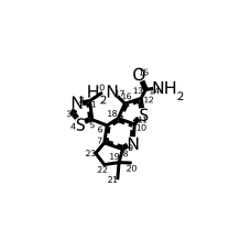 Cc1ncsc1-c1c2c(nc3sc(C(N)=O)c(N)c13)C(C)(C)CC2